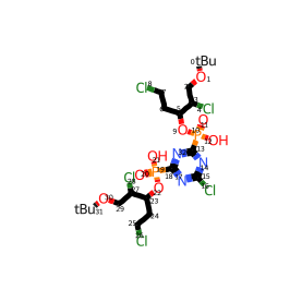 CC(C)(C)OCC(Cl)C(CCCl)OP(=O)(O)c1nc(Cl)nc(P(=O)(O)OC(CCCl)C(Cl)COC(C)(C)C)n1